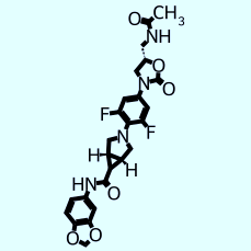 CC(=O)NC[C@H]1CN(c2cc(F)c(N3C[C@@H]4C(C(=O)Nc5ccc6c(c5)OCO6)[C@@H]4C3)c(F)c2)C(=O)O1